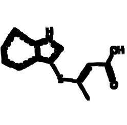 CC(=CC(=O)O)Sc1c[nH]c2ccccc12